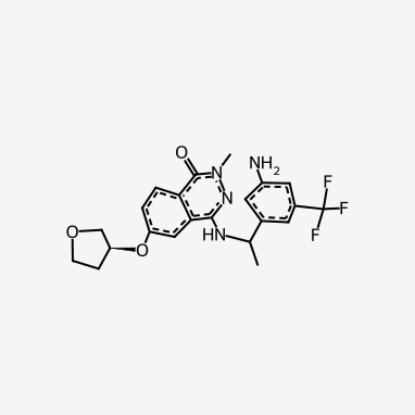 CC(Nc1nn(C)c(=O)c2ccc(O[C@H]3CCOC3)cc12)c1cc(N)cc(C(F)(F)F)c1